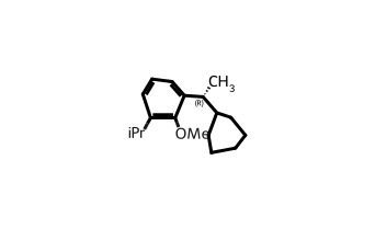 COc1c(C(C)C)cccc1[C@H](C)C1CCCCC1